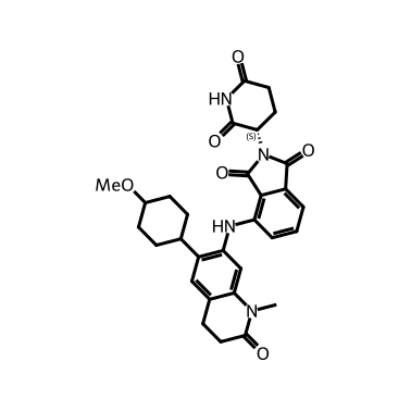 COC1CCC(c2cc3c(cc2Nc2cccc4c2C(=O)N([C@H]2CCC(=O)NC2=O)C4=O)N(C)C(=O)CC3)CC1